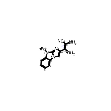 CCCn1c2ccccc2n2cc(/C(N)=C(/N)C#N)nc12